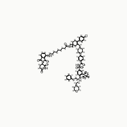 CC1(CNC(=O)CCCCCCCCNc2cccc3c2C(=O)N(C2CCC(=O)NC2=O)C3=O)CCC(c2ccc(Cl)cc2)=C(CN2CCN(c3ccc(C(=O)NS(=O)(=O)c4ccc(N[C@H](CCN5CCOCC5)CSc5ccccc5)c(S(=O)(=O)C(F)(F)F)c4)cc3)CC2)C1